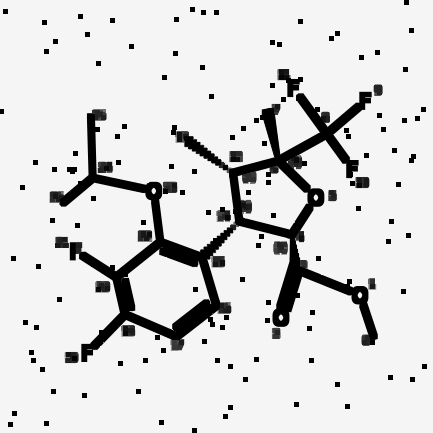 COC(=O)[C@H]1O[C@@](C)(C(F)(F)F)[C@@H](C)[C@H]1c1ccc(F)c(F)c1OC(C)C